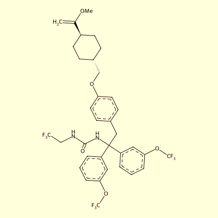 C=C(OC)[C@H]1CC[C@H](COc2ccc(CC(NC(=O)NCC(F)(F)F)(c3cccc(OC(F)(F)F)c3)c3cccc(OC(F)(F)F)c3)cc2)CC1